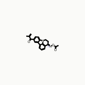 C=C(C)C(=O)c1ccc2c(c1)c1cccc3c1n2CC/C3=N\OC(C)=O